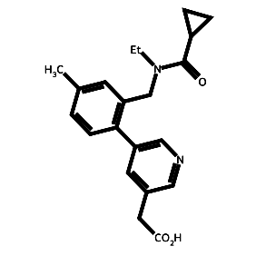 CCN(Cc1cc(C)ccc1-c1cncc(CC(=O)O)c1)C(=O)C1CC1